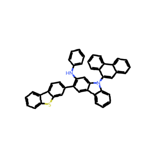 c1ccc(Nc2cc3c(cc2-c2ccc4c(c2)sc2ccccc24)c2ccccc2n3-c2cc3ccccc3c3ccccc23)cc1